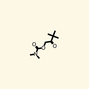 CN(C)C(=O)OCC(=O)C(C)(C)C